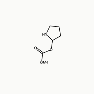 COC(=O)OC1CCCN1